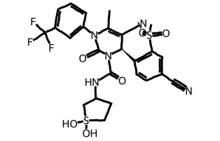 CC1=C(C#N)[C@@H](c2ccc(C#N)cc2S(C)(=O)=O)N(C(=O)NC2CCS(O)(O)C2)C(=O)N1c1cccc(C(F)(F)F)c1